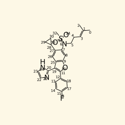 CC(C)=CCCN(c1cc2oc(-c3ccc(F)cc3)c(-c3ncc[nH]3)c2cc1C1CC1)S(C)(=O)=O